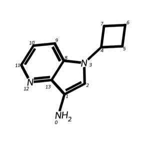 Nc1cn(C2CCC2)c2cccnc12